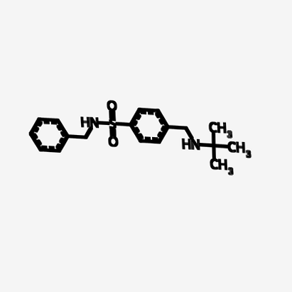 CC(C)(C)NCc1ccc(S(=O)(=O)NCc2ccccc2)cc1